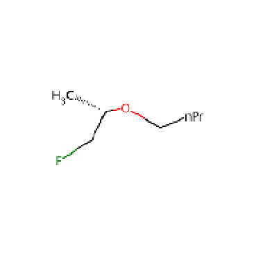 CCCCO[C@@H](C)CF